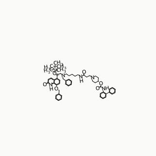 CC(C)(C)[Si](C)(C)O[C@@H](CN(CCCCCNC(=O)CCN1CCC(OC(=O)Nc2ccccc2-c2ccccc2)CC1)Cc1ccccc1)c1ccc(OCc2ccccc2)c2[nH]c(=O)ccc12